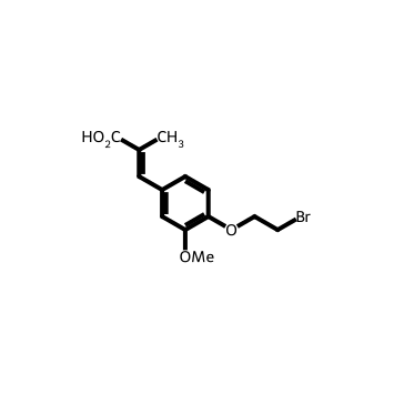 COc1cc(C=C(C)C(=O)O)ccc1OCCBr